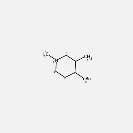 CCCCC1CCN(C)CC1C